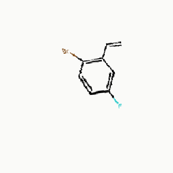 C=Cc1cc(F)ccc1Br